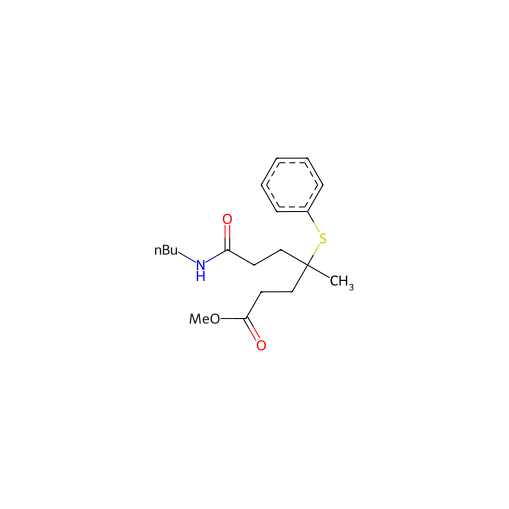 CCCCNC(=O)CCC(C)(CCC(=O)OC)Sc1ccccc1